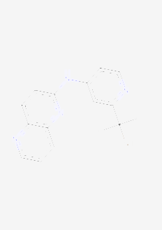 CC(C)(S)c1cc(Nc2ccc3ncccc3n2)ccn1